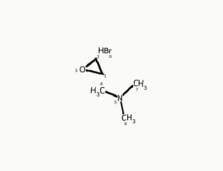 Br.C1CO1.CN(C)C